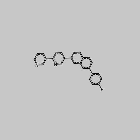 Fc1ccc(-c2ccc3ccc(-c4ccc(-c5cccnc5)nc4)cc3c2)cc1